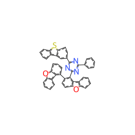 c1ccc(-c2nc(-c3ccc4sc5ccccc5c4c3)nc(-c3c(-c4cccc5oc6ccccc6c45)ccc4oc5ccccc5c34)n2)cc1